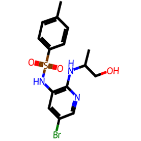 Cc1ccc(S(=O)(=O)Nc2cc(Br)cnc2NC(C)CO)cc1